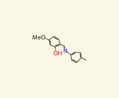 COc1ccc(C=Nc2ccc(C)cc2)c(O)c1